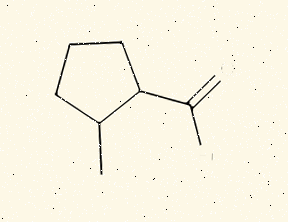 CCC(=O)C1CCCC1C